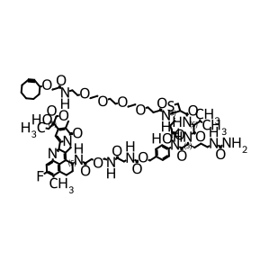 CC[C@@]1(O)C(=O)OCc2c1cc1n(c2=O)Cc2c-1nc1cc(F)c(C)c3c1c2[C@@H](NC(=O)COCNC(=O)CNC(=O)OCc1ccc(NC(=O)[C@H](CCCNC(N)=O)NC(=O)[C@@H](NC(=O)C2CS[C@]2(CCC(=O)O)NC(=O)CCOCCOCCOCCOCCNC(=O)COC2C#CCCCCC2)C(C)C)cc1)CC3